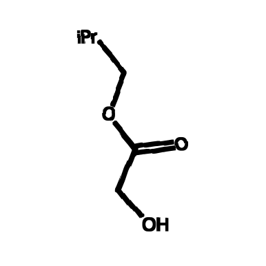 CC(C)COC(=O)CO